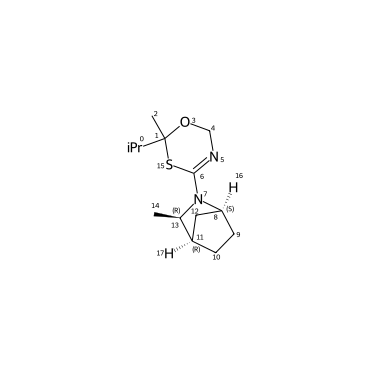 CC(C)C1(C)OCN=C(N2[C@H]3CC[C@H](C3)[C@H]2C)S1